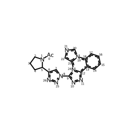 CC(=O)N1CCCC1c1cn(-c2nnc3c4ccccc4n4cncc4n23)nn1